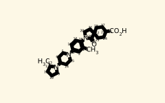 Cc1cc(N2CCC(N3CCC[C@@H]3C)CC2)ccc1N1CCC2(CCC(C(=O)O)CC2)C1=O